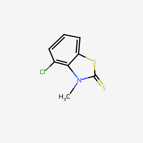 Cn1c(=S)sc2cccc(Cl)c21